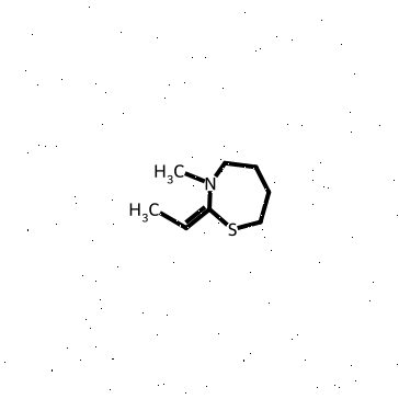 C/C=C1/SCCCCN1C